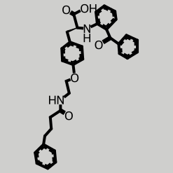 O=C(CCCc1ccccc1)NCCOc1ccc(C[C@H](Nc2ccccc2C(=O)c2ccccc2)C(=O)O)cc1